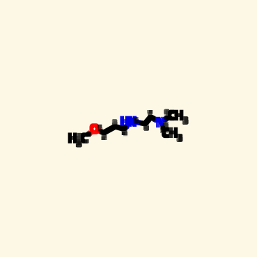 COCCCNCCN(C)C